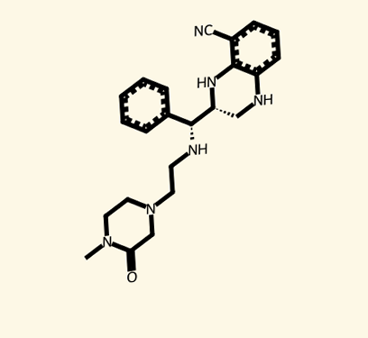 CN1CCN(CCN[C@H](c2ccccc2)[C@H]2CNc3cccc(C#N)c3N2)CC1=O